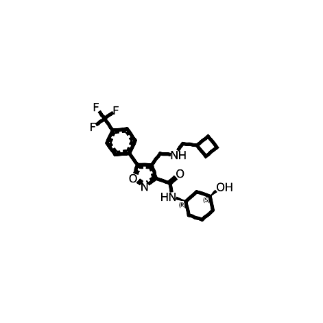 O=C(N[C@@H]1CCC[C@H](O)C1)c1noc(-c2ccc(C(F)(F)F)cc2)c1CNCC1CCC1